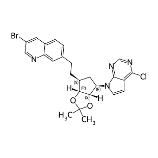 CC1(C)O[C@@H]2[C@@H](CCc3ccc4cc(Br)cnc4c3)C[C@@H](n3ccc4c(Cl)ncnc43)[C@@H]2O1